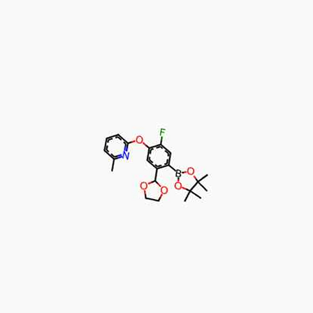 Cc1cccc(Oc2cc(C3OCCO3)c(B3OC(C)(C)C(C)(C)O3)cc2F)n1